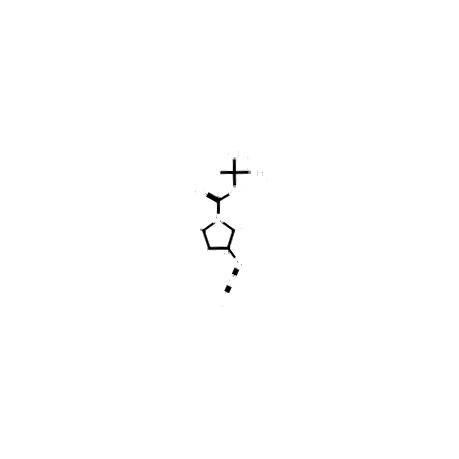 CC(C)(C)OC(=O)N1CCC(N=C=S)C1